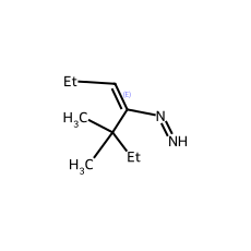 CC/C=C(/N=N)C(C)(C)CC